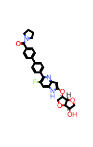 O=C(c1ccc(-c2ccc(-c3nc4cc(O[C@@H]5COC6[C@H](O)CO[C@@H]65)[nH]c4cc3F)cc2)cc1)N1CCCC1